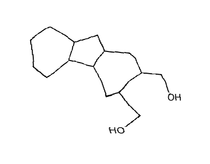 OCC1CC2CC3CCCCC3C2CC1CO